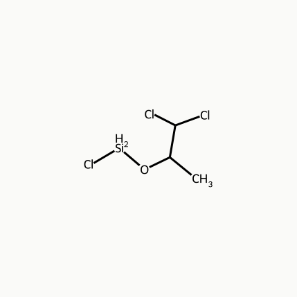 CC(O[SiH2]Cl)C(Cl)Cl